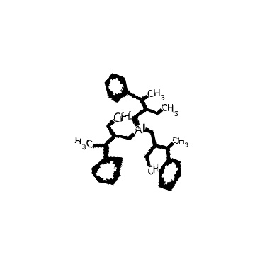 CCC([CH2][Al]([CH2]C(CC)C(C)c1ccccc1)[CH2]C(CC)C(C)c1ccccc1)C(C)c1ccccc1